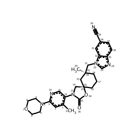 Cc1cc(N2CCOCC2)ncc1N1C[C@@]2(CCC[C@](C)(Cn3cnc4ccc(C#N)cc43)C2)OC1=O